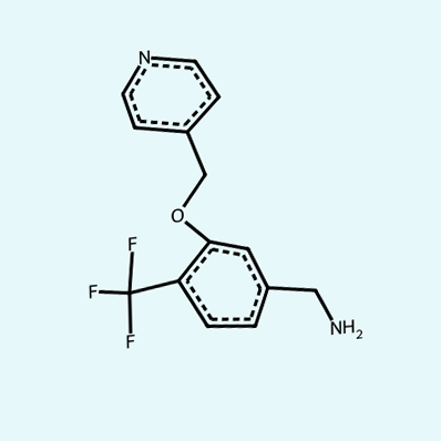 NCc1ccc(C(F)(F)F)c(OCc2ccncc2)c1